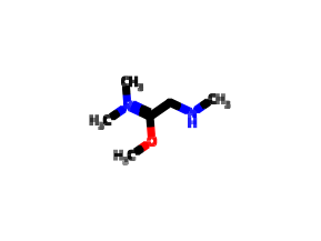 CNCC(OC)=[N+](C)C